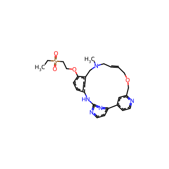 CCS(=O)(=O)CCOc1ccc2cc1CN(C)C/C=C/COCc1cc(ccn1)-c1ccnc(n1)N2